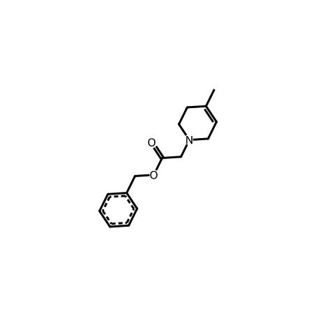 CC1=CCN(CC(=O)OCc2ccccc2)CC1